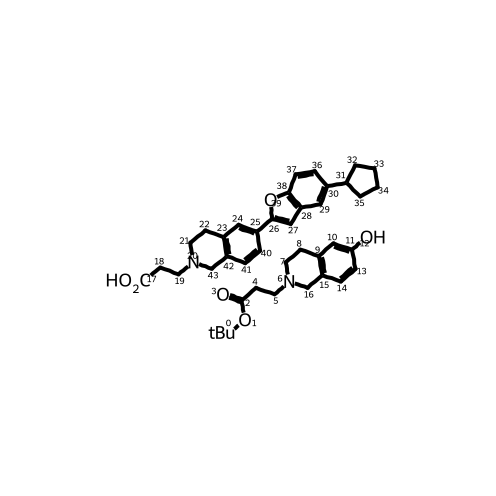 CC(C)(C)OC(=O)CCN1CCc2cc(O)ccc2C1.O=C(O)CCN1CCc2cc(-c3cc4cc(C5CCCC5)ccc4o3)ccc2C1